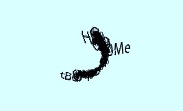 COc1cc(N2CCN(CCCCOc3ccc(C4CCN(C(=O)OC(C)(C)C)CC4)c(F)c3)CC2)cc2c1C(=O)N(C1CCC(=O)NC1=O)C2